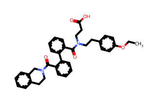 CCOc1ccc(CCN(CCC(=O)O)C(=O)c2ccccc2-c2ccccc2C(=O)N2CCc3ccccc3C2)cc1